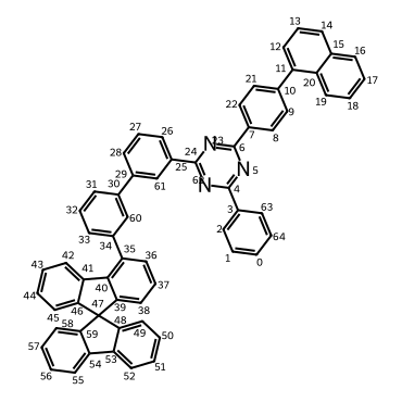 c1ccc(-c2nc(-c3ccc(-c4cccc5ccccc45)cc3)nc(-c3cccc(-c4cccc(-c5cccc6c5-c5ccccc5C65c6ccccc6-c6ccccc65)c4)c3)n2)cc1